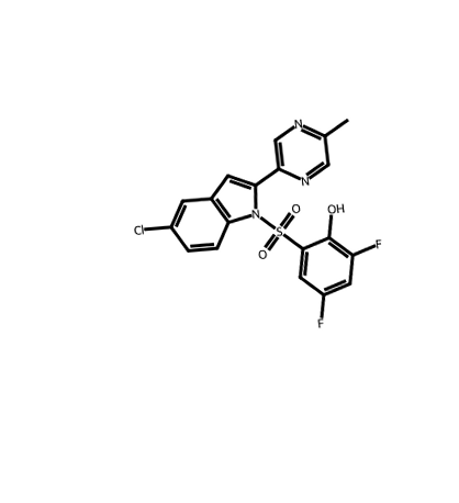 Cc1cnc(-c2cc3cc(Cl)ccc3n2S(=O)(=O)c2cc(F)cc(F)c2O)cn1